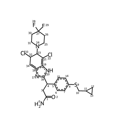 NC(=O)CC(c1ccc(SCC2CC2)cc1)c1nc2c([nH]1)=C(Cl)C(N1CCC(F)(F)CC1)C(Cl)C=2